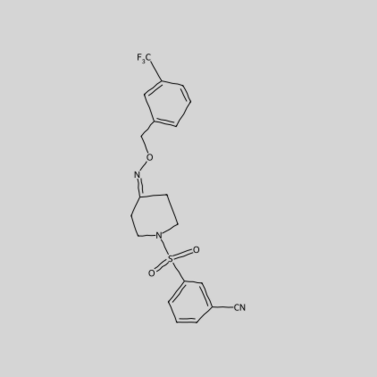 N#Cc1cccc(S(=O)(=O)N2CCC(=NOCc3cccc(C(F)(F)F)c3)CC2)c1